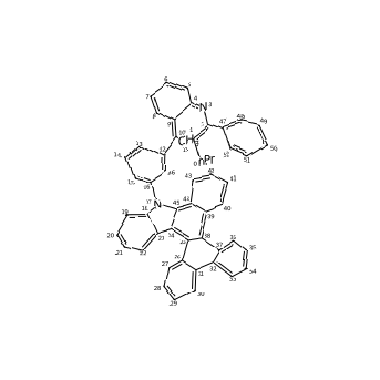 CCC/C=C(/N=C1/C=CC=C/C1=C(/C)c1cccc(-n2c3ccccc3c3c4c5ccccc5c5ccccc5c4c4ccccc4c32)c1)c1ccccc1